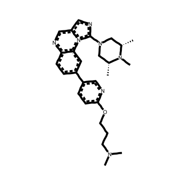 C[C@@H]1CN(c2ncc3cnc4ccc(-c5ccc(OCCCN(C)C)nc5)cc4n23)C[C@H](C)N1C